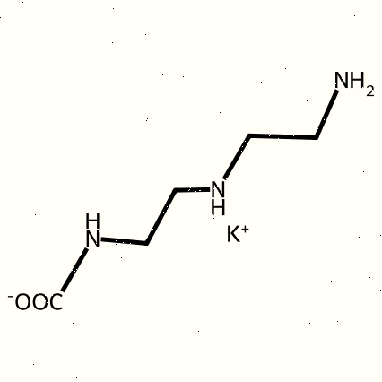 NCCNCCNC(=O)[O-].[K+]